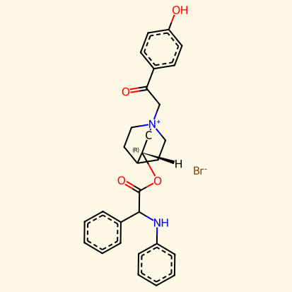 O=C(C[N+]12CCC(CC1)[C@@H](OC(=O)C(Nc1ccccc1)c1ccccc1)C2)c1ccc(O)cc1.[Br-]